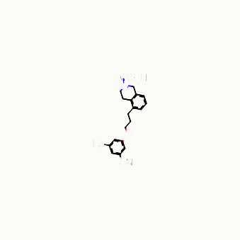 N#Cc1cc(Br)cc(OCCCc2cccc3c2CCN(C(=O)O)C3)c1